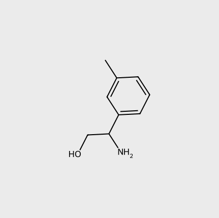 Cc1cccc(C(N)CO)c1